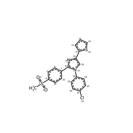 CS(=O)(=O)c1ccc(-c2nc(-c3cccs3)cn2-c2ccc(Cl)cc2)cc1